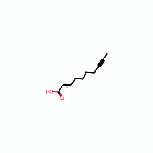 CC#CCCCC/C=C/C(=O)O